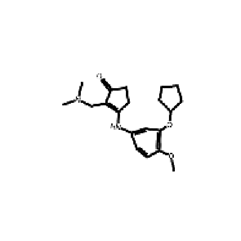 COc1ccc(NC2=C(CN(C)C)C(=O)CC2)cc1OC1CCCC1